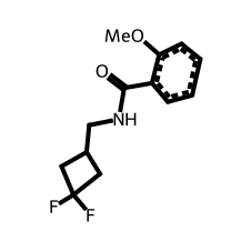 COc1ccccc1C(=O)NCC1CC(F)(F)C1